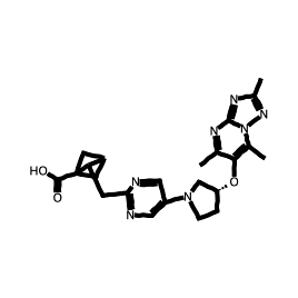 Cc1nc2nc(C)c(O[C@@H]3CCN(c4cnc(CC5C6CC5(C(=O)O)C6)nc4)C3)c(C)n2n1